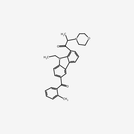 CCn1c2ccc(C(=O)c3ccccc3C)cc2c2cccc(C(=O)C(C)N3CCOCC3)c21